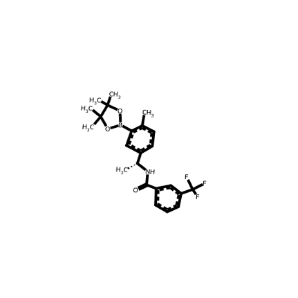 Cc1ccc([C@@H](C)NC(=O)c2cccc(C(F)(F)F)c2)cc1B1OC(C)(C)C(C)(C)O1